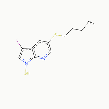 CCCCSc1cnc2c(c1)c(I)cn2S